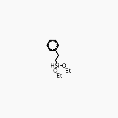 CCO[SiH](CCc1ccccc1)OCC